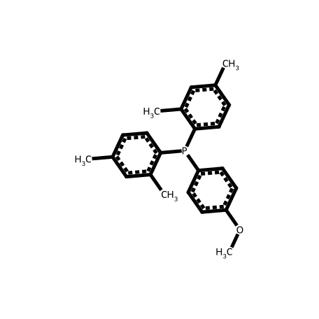 COc1ccc(P(c2ccc(C)cc2C)c2ccc(C)cc2C)cc1